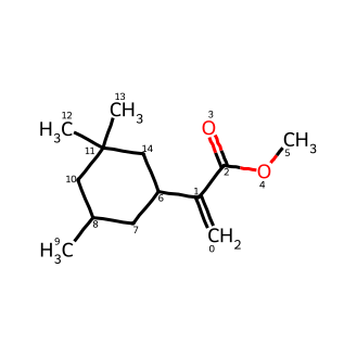 C=C(C(=O)OC)C1CC(C)CC(C)(C)C1